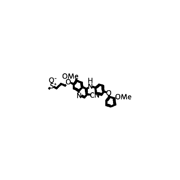 COc1cc2c(Nc3ccc(Oc4ccccc4OC)cc3)c(C#N)cnc2cc1OCCC[S+](C)[O-]